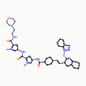 Cn1cc(NC(=O)c2cc(NC(=O)c3ccc(/C=C/c4cc5ccccc5nc4On4nnc5ccccc54)cc3)cn2C)cc1C(=O)NCCN1CCOCC1